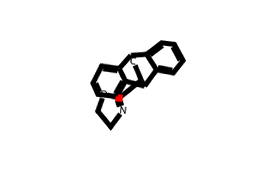 c1ccc2c(c1)C1CC(C3=NCCO3)C2c2ccccc21